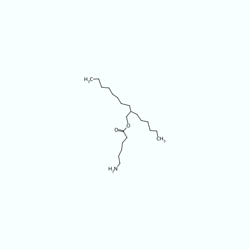 CCCCCCCCC(CCCCCC)COC(=O)CCCCCN